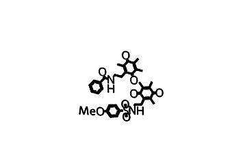 CC1=C(C)C(=O)C(CCNC(=O)c2ccccc2)=C(C)C1=O.COc1ccc(S(=O)(=O)NCCC2=C(C)C(=O)C(C)=C(C)C2=O)cc1